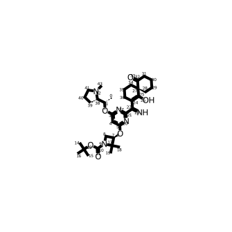 C[C@H](Oc1cc(O[C@@H]2CN(C(=O)OC(C)(C)C)C2(C)C)nc(C(=N)C2=C(O)[C@]3(CCCCC3=O)CCC2)n1)[C@@H]1CCCN1C